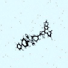 Cc1cccc(-c2[nH]c(C3CCN(S(=O)(=O)c4ccc(-c5ccccc5)cc4)CC3)nc2-c2ccc3c(c2)OCO3)n1